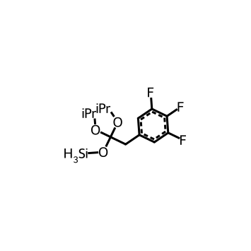 CC(C)OC(Cc1cc(F)c(F)c(F)c1)(O[SiH3])OC(C)C